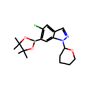 CC1(C)OB(c2cc3c(cnn3C3CCCCO3)cc2F)OC1(C)C